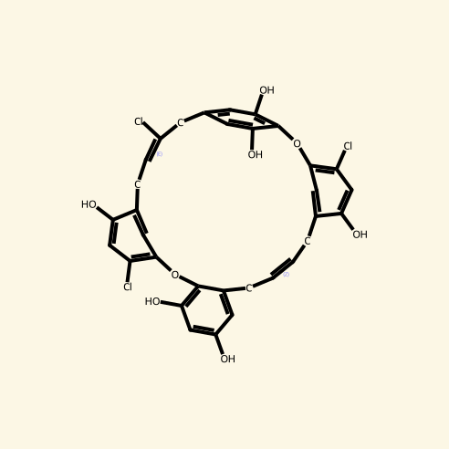 Oc1cc(O)c2c(c1)C/C=C\Cc1cc(c(Cl)cc1O)Oc1c(O)cc(cc1O)C/C(Cl)=C\Cc1cc(c(Cl)cc1O)O2